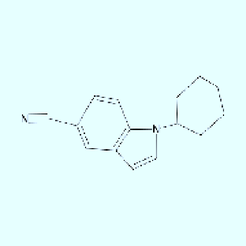 N#Cc1ccc2c(ccn2C2CCCCC2)c1